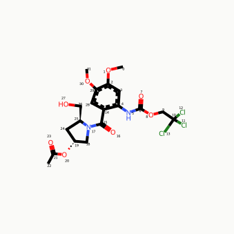 COc1cc(NC(=O)OCC(Cl)(Cl)Cl)c(C(=O)N2C[C@H](OC(C)=O)C[C@H]2CO)cc1OC